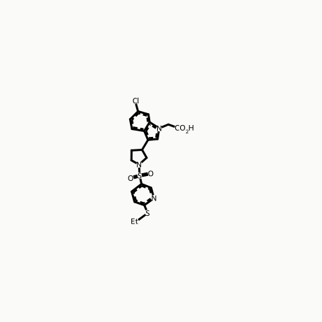 CCSc1ccc(S(=O)(=O)N2CCC(c3cn(CC(=O)O)c4cc(Cl)ccc34)C2)cn1